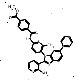 COC(=O)c1ccc(C(=O)Nc2ccc(-n3c(-c4cccnc4N)nc4ccc(-c5ccccc5)cc43)c(C)n2)cc1